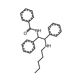 CCCCCNC(c1ccccc1)C(NC(=O)c1ccccc1)c1ccccc1